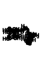 COc1cccc2c1C(=O)c1c(O)c3c(c(O)c1C2=O)C[C@@](O)(/C(CO)=N/NC(=O)CCCC(C)(C)Cn1cc(CNC(=O)CCCCCO[C@H]2[C@H](O)[C@@H](O)[C@@H](OC[C@H]4O[C@H](OC)[C@H](O)[C@@H](O)[C@@H]4OCCCCCC(=O)O)O[C@@H]2CO[C@H]2O[C@H](CO)[C@@H](O)[C@H](O)[C@H]2O)nn1)CC3OC1CC(C)C(O)C(N)C1